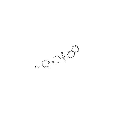 O=S(=O)(c1ccc2ccccc2c1)C1CCN(c2ccc(C(F)(F)F)cn2)CC1